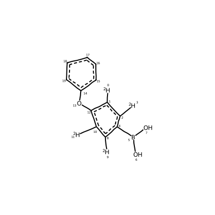 [2H]c1c([2H])c(B(O)O)c([2H])c([2H])c1Oc1ccccc1